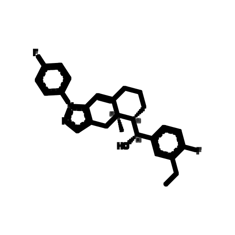 CCc1cc([C@H](O)[C@H]2CCCC3=Cc4c(cnn4-c4ccc(F)cc4)C[C@@]32C)ccc1F